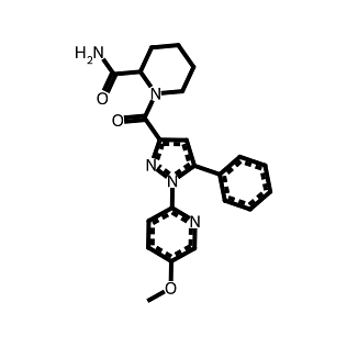 COc1ccc(-n2nc(C(=O)N3CCCCC3C(N)=O)cc2-c2ccccc2)nc1